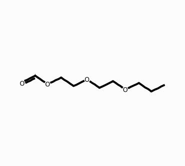 CCCOCCOCCO[C]=O